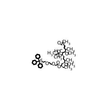 CC[C@H](C[C@H](OC)[C@@H](C)CC[C@@H](OC(=O)C(C)C)[C@H](C)[C@H](OC)[C@H](C)/C=C/N(C)C=O)OC(=O)COCCOCCSC(c1ccccc1)(c1ccccc1)c1ccccc1